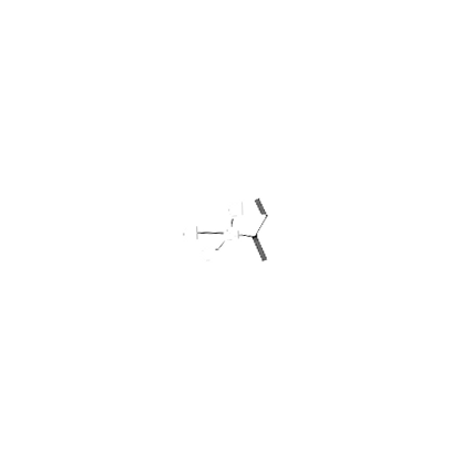 C=CC(=C)[Si](Cl)(Cl)Cl